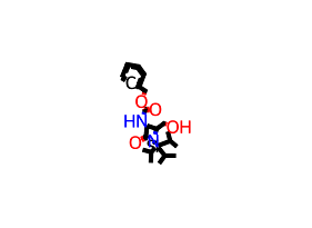 CC(C)[Si](C(C)C)(C(C)C)N1C(=O)C(NC(=O)OCc2ccccc2)C1CO